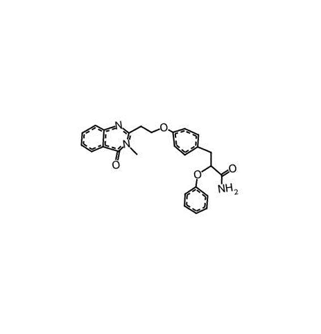 Cn1c(CCOc2ccc(CC(Oc3ccccc3)C(N)=O)cc2)nc2ccccc2c1=O